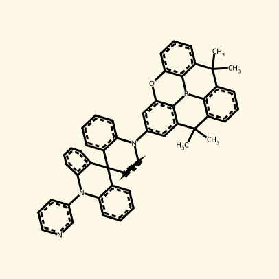 CC1(C)c2cccc3c2B2c4c(cc(N5c6ccccc6C6(c7ccccc7N(c7cccnc7)c7ccccc76)c6ccccc65)cc4C(C)(C)c4cccc1c42)O3